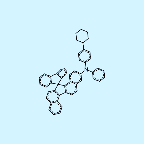 c1ccc(N(c2ccc(C3CCCCC3)cc2)c2ccc3c4c(ccc3c2)-c2c(ccc3ccccc23)C42c3ccccc3-c3ccccc32)cc1